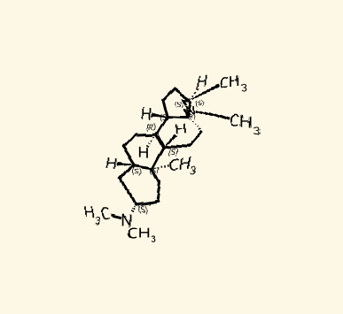 C[C@H]1[C@H]2CC[C@H]3[C@@H]4CC[C@H]5C[C@@H](N(C)C)CC[C@]5(C)[C@H]4CC[C@]23CN1C